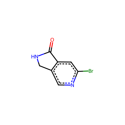 O=C1NCc2cnc(Br)cc21